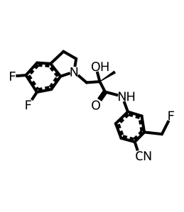 C[C@](O)(CN1CCc2cc(F)c(F)cc21)C(=O)Nc1ccc(C#N)c(CF)c1